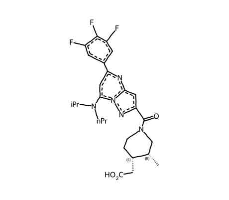 CCCN(c1cc(-c2cc(F)c(F)c(F)c2)nc2cc(C(=O)N3CC[C@@H](CC(=O)O)[C@@H](C)C3)nn12)C(C)C